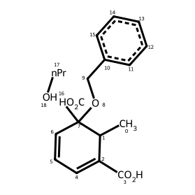 CC1C(C(=O)O)=CC=CC1(OCc1ccccc1)C(=O)O.CCCO